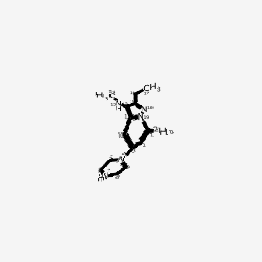 [2H]c1cc(N2CCNCC2)cc2c(NC)c(CC)nn12